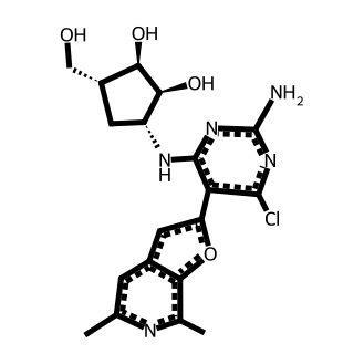 Cc1cc2cc(-c3c(Cl)nc(N)nc3N[C@@H]3C[C@H](CO)[C@@H](O)[C@H]3O)oc2c(C)n1